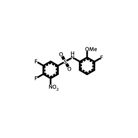 COc1c(F)cccc1NS(=O)(=O)c1cc(F)c(F)c([N+](=O)[O-])c1